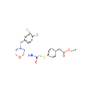 CCOC(=O)CC1C=CC(SCC(=O)NC[C@H]2CN(Cc3ccc(Cl)c(Cl)c3)CCO2)=CC1